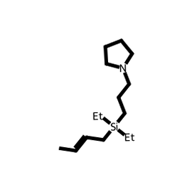 CC=CC[Si](CC)(CC)CCCN1CCCC1